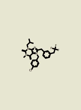 C=C1c2c(nc(Cc3cccc(CC(F)(F)F)c3)n2Cc2ccc(Cl)cc2)N(CC(C)C)C(=C)N1C